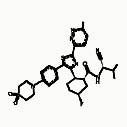 Cc1ccc(-c2nc([C@@H]3CC[C@H](F)C[C@H]3C(=O)N[C@H](C#N)C(C)C)c(-c3ccc(N4CCS(=O)(=O)CC4)cc3)s2)nn1